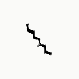 [CH2]CCOCCC=CC